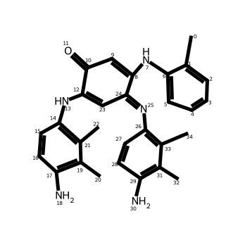 Cc1ccccc1NC1=CC(=O)C(Nc2ccc(N)c(C)c2C)=CC1=Nc1ccc(N)c(C)c1C